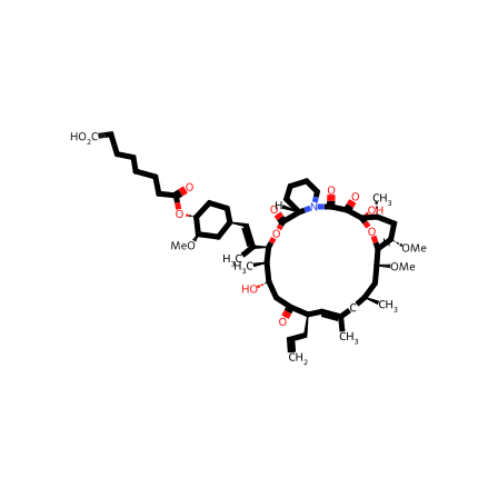 C=CC[C@@H]1/C=C(\C)C[C@H](C)C[C@H](OC)[C@H]2O[C@@](O)(C(=O)C(=O)N3CCCC[C@H]3C(=O)O[C@H](/C(C)=C/[C@@H]3CC[C@@H](OC(=O)CCCCCCC(=O)O)[C@H](OC)C3)[C@H](C)[C@@H](O)CC1=O)[C@H](C)C[C@@H]2OC